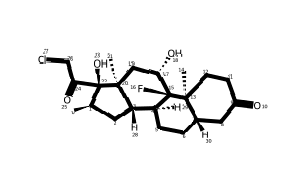 C[C@@H]1C[C@H]2[C@@H]3CC[C@H]4CC(=O)CC[C@]4(C)[C@@]3(F)[C@@H](O)C[C@]2(C)[C@@]1(O)C(=O)CCl